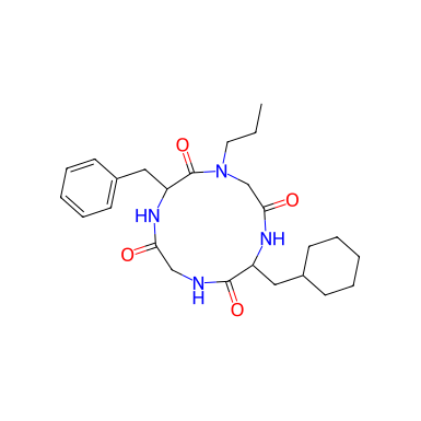 CCCN1CC(=O)NC(CC2CCCCC2)C(=O)NCC(=O)NC(Cc2ccccc2)C1=O